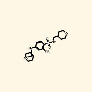 O=S(=O)(NCC1CCOCC1)c1ccc(NC2CN3CCC2CC3)cc1C(F)(F)F